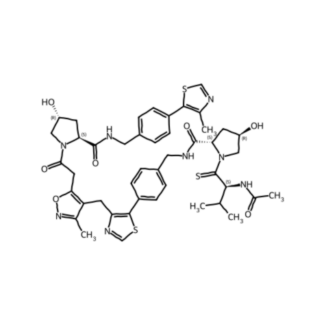 CC(=O)N[C@H](C(=S)N1C[C@H](O)C[C@H]1C(=O)NCc1ccc(-c2scnc2Cc2c(C)noc2CC(=O)N2C[C@H](O)C[C@H]2C(=O)NCc2ccc(-c3scnc3C)cc2)cc1)C(C)C